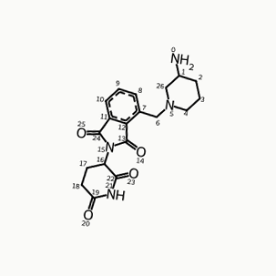 NC1CCCN(Cc2cccc3c2C(=O)N(C2CCC(=O)NC2=O)C3=O)C1